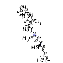 C/C(=C\CC[C@]1(S)CCc2c(CN3CCN(C)CC3)c(O)cc(C)c2O1)CC/C=C(\S)CCC=C(CO)CO